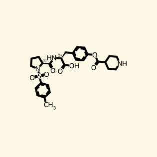 Cc1ccc(S(=O)(=O)N2CCC[C@H]2C(=O)N[C@@H](Cc2ccc(OC(=O)C3CCNCC3)cc2)C(=O)O)cc1